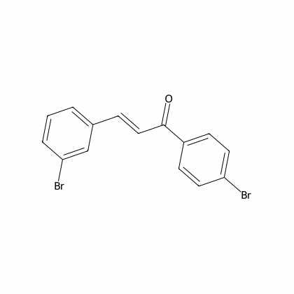 O=C(C=Cc1cccc(Br)c1)c1ccc(Br)cc1